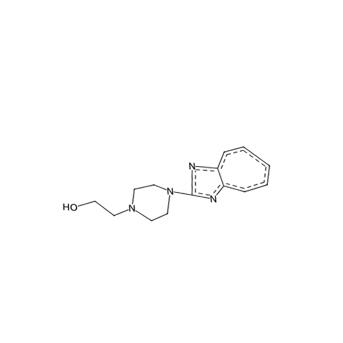 OCCN1CCN(c2nc3cccccc-3n2)CC1